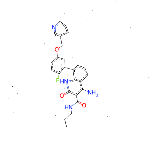 CCCNC(=O)c1c(N)c2cccc(-c3cc(OCc4cccnc4)ccc3F)c2[nH]c1=O